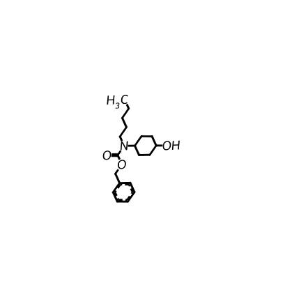 CCCCCN(C(=O)OCc1ccccc1)C1CCC(O)CC1